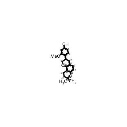 COc1cc(O)ccc1C1COc2c(ccc3c2CCC(C)(C)O3)C1